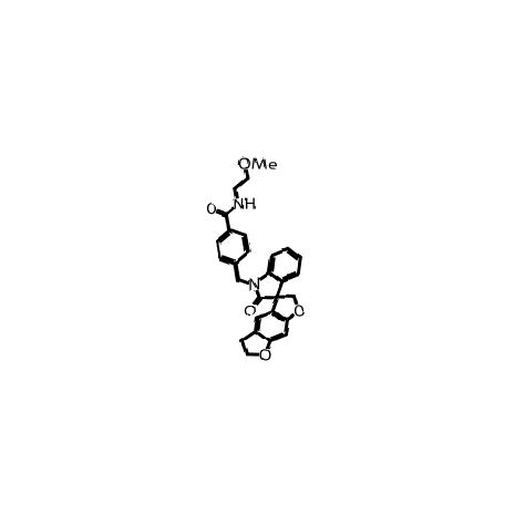 COCCNC(=O)c1ccc(CN2C(=O)C3(COc4cc5c(cc43)CCO5)c3ccccc32)cc1